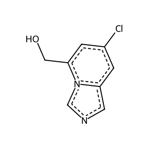 OCc1cc(Cl)cc2cncn12